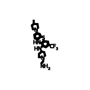 CC1CCN(c2ccc3c(c2)Sc2cc(C(F)(F)F)cc(NC4CCN(CCN)CC4)c2N3)CC1